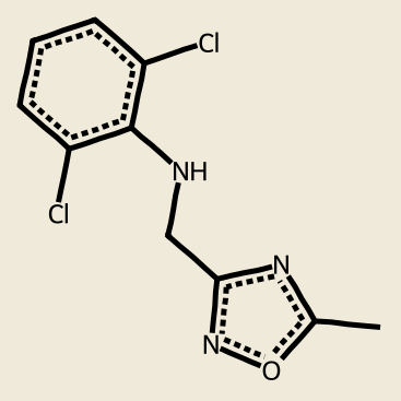 Cc1nc(CNc2c(Cl)cccc2Cl)no1